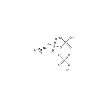 O=P(O)(O)OS(=O)(=O)[O-].O=S(=O)([O-])[O-].[H+].[K+].[MgH2].[Na+]